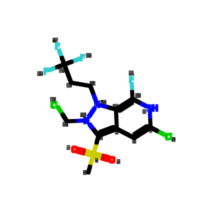 CS(=O)(=O)C1=C2C=C(Cl)NC(F)=C2N(CCC(F)(F)F)N1CCl